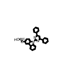 OBOc1ccc2c(c1)c1ccccc1n2-c1nc(-c2ccccc2)cc(-c2ccccc2)n1